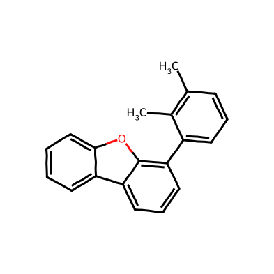 Cc1cccc(-c2cccc3c2oc2ccccc23)c1C